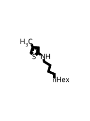 CCCCCCCCCCNc1cc(C)cs1